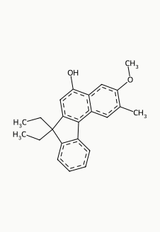 CCC1(CC)c2ccccc2-c2c1cc(O)c1cc(OC)c(C)cc21